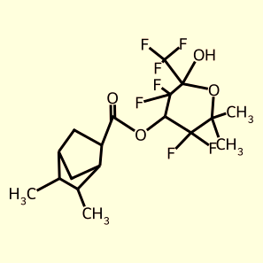 CC1C2CC(C(=O)OC3C(F)(F)C(C)(C)OC(O)(C(F)(F)F)C3(F)F)C(C2)C1C